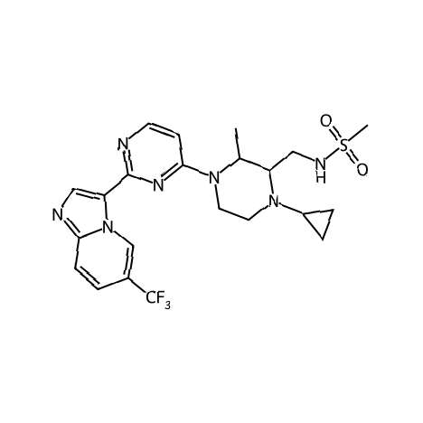 CC1C(CNS(C)(=O)=O)N(C2CC2)CCN1c1ccnc(-c2cnc3ccc(C(F)(F)F)cn23)n1